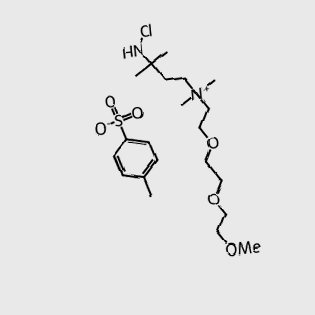 COCCOCCOCC[N+](C)(C)CCC(C)(C)NCl.Cc1ccc(S(=O)(=O)[O-])cc1